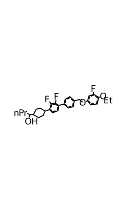 CCCC(O)C1CCC(c2ccc(-c3ccc(COc4ccc(OCC)c(F)c4)cc3)c(F)c2F)CC1